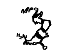 COC(=O)c1sc2ccc3nc(OC)cnc3c2c1CCC(C)N